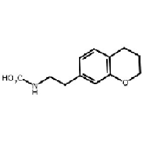 O=C(O)NCCc1ccc2c(c1)OCCC2